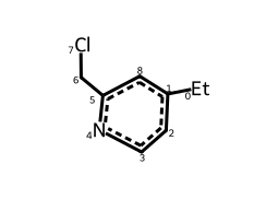 CCc1ccnc(CCl)c1